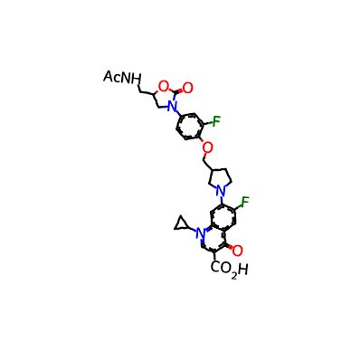 CC(=O)NCC1CN(c2ccc(OCC3CCN(c4cc5c(cc4F)c(=O)c(C(=O)O)cn5C4CC4)C3)c(F)c2)C(=O)O1